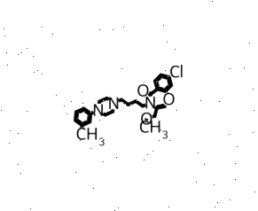 COCC1=COc2cc(Cl)ccc2C(=O)N1CCCCN1CCN(c2cccc(C)c2)CC1